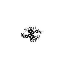 [N-]=[N+]=Nc1ccc(C2=CC3(C=C(c4ccc(N=[N+]=[N-])cc4)c4cc(O)c(O)cc43)c3cc(O)c(O)cc32)cc1